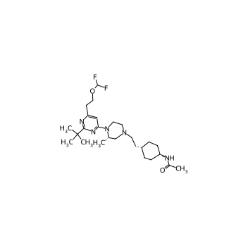 CC(=O)N[C@H]1CC[C@H](CCN2CCN(c3cc(CCOC(F)F)nc(C(C)(C)C)n3)[C@@H](C)C2)CC1